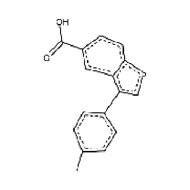 Cc1ccc(-c2csc3ccc(C(=O)O)cc23)cc1